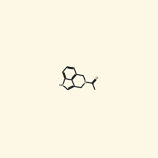 CC(=O)N1Cc2cccc3[nH]cc(c23)C1